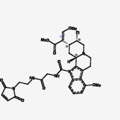 CC[C@@H]1CN2CCc3c(n(C(=O)NCC(=O)NCCN4C(=O)C=CC4=O)c4cccc(OC)c34)[C@@H]2C[C@@H]1/C(=C\OC)C(=O)OC